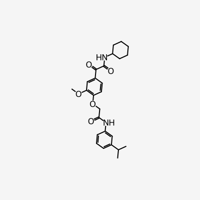 COc1cc(C(=O)C(=O)NC2CCCCC2)ccc1OCC(=O)Nc1cccc(C(C)C)c1